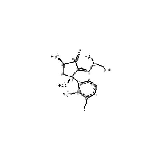 Cc1c(F)cccc1[C@]1(C(=O)O)CC(C)C(=O)C1=CN(C)C